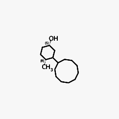 C[C@@H]1CC[C@H](O)CC1C1CCCCCCCCC1